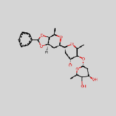 CC1O[C@H](OC2C(C)O[C@H]([C@H]3C[C@H]4OC(c5ccccc5)OC4C(C)O3)C[C@H]2O)C[C@@H](O)C1O